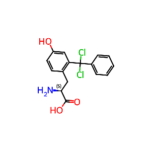 N[C@@H](Cc1ccc(O)cc1C(Cl)(Cl)c1ccccc1)C(=O)O